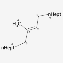 CCCCCCCC/C=C(\C)CCCCCCCC